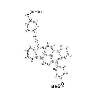 CCCCCCOc1ccc(C#Cc2c3ccccc3c3ccc4c(-c5ccc(OCCCCCC)cc5)c5ccccc5c5ccc2c3c45)cc1